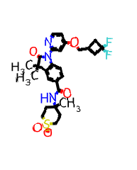 CC1(NC(=O)c2ccc3c(c2)C(C)(C)C(=O)N3c2cc(OCC3CC(F)(F)C3)ccn2)CCS(=O)(=O)CC1